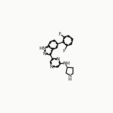 Fc1cccc(F)c1-c1ccc2[nH]nc(-c3cncc(N[C@H]4CCNC4)n3)c2c1